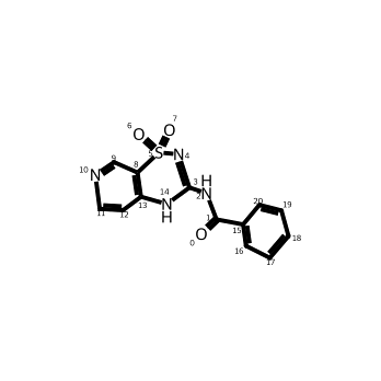 O=C(NC1=NS(=O)(=O)c2cnccc2N1)c1ccccc1